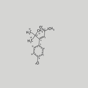 CC(=O)/C=C(/c1ccc(Cl)cc1)C(C)(C)C